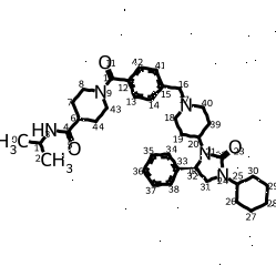 CC(C)NC(=O)C1CCN(C(=O)c2ccc(CN3CCC(N4C(=O)N(C5CCCCC5)C[C@H]4c4ccccc4)CC3)cc2)CC1